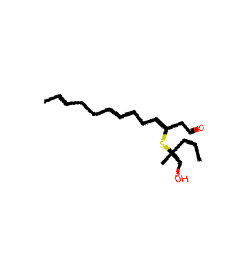 CCCCCCCCCCC(CC=O)SC(C)(CO)CCC